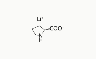 O=C([O-])[C@@H]1CCCN1.[Li+]